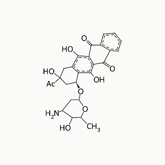 CC(=O)C1(O)Cc2c(O)c3c(c(O)c2[C@@H](OC2CC(N)C(O)C(C)O2)C1)C(=O)c1ccccc1C3=O